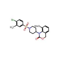 COc1cccc2c1N(C1CCN(S(=O)(=O)c3ccc(Br)c(C)c3)CC1)C(=O)OC2